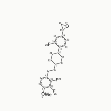 COc1ccc(CCC2CCC(c3ccc(C4CO4)cc3F)CC2)c(F)c1F